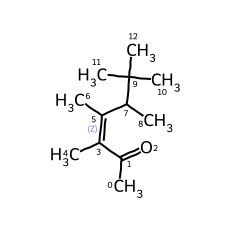 CC(=O)/C(C)=C(/C)C(C)C(C)(C)C